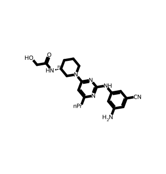 CCCc1cc(N2CCC[C@@H](NC(=O)CO)C2)nc(Nc2cc(N)cc(C#N)c2)n1